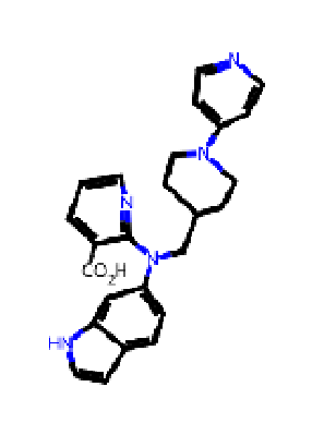 O=C(O)c1cccnc1N(CC1CCN(c2ccncc2)CC1)c1ccc2cc[nH]c2c1